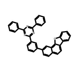 c1ccc(-c2nc(-c3ccccc3)nc(-c3cccc(-c4ccc5ccc6c7ccccc7oc6c5c4)c3)n2)cc1